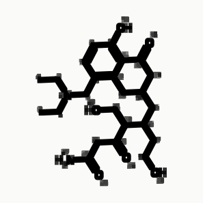 CCN(CC)Cc1ccc(O)c2c1CC(CC(CCO)C(CO)C(=O)CC(N)=O)CC2=O